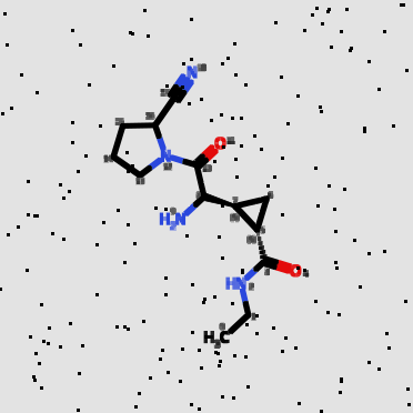 CCNC(=O)[C@H]1C[C@@H]1C(N)C(=O)N1CCCC1C#N